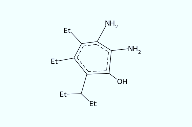 CCc1c(N)c(N)c(O)c(C(CC)CC)c1CC